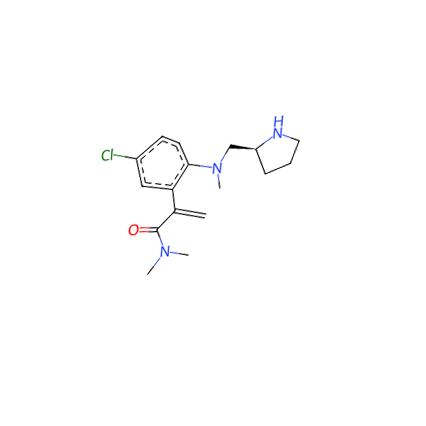 C=C(C(=O)N(C)C)c1cc(Cl)ccc1N(C)C[C@@H]1CCCN1